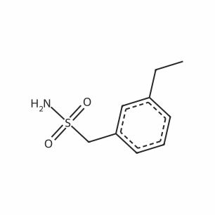 CCc1cccc(CS(N)(=O)=O)c1